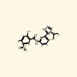 Cc1cc(F)c(C(=O)Nc2cccc(-c3nncn3C(C)C)n2)cc1[N+](=O)[O-]